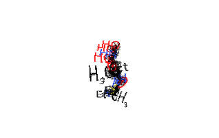 CCc1cc(-c2noc(-c3cc(C)c(CN(CC)CC)s3)n2)cc(C)c1OCC(O)CNCC(O)CO